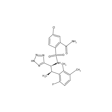 Cc1ccc(F)c([C@@H](C)[C@H](NS(=O)(=O)c2ccc(Cl)cc2C(N)=O)c2nn[nH]n2)c1C